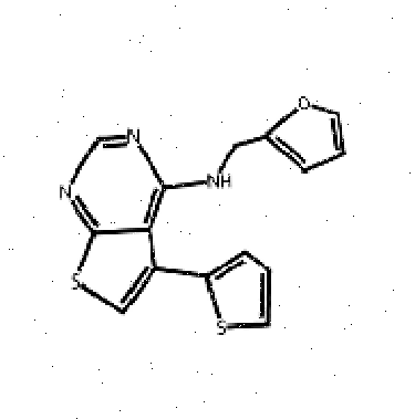 c1coc(CNc2ncnc3scc(-c4cccs4)c23)c1